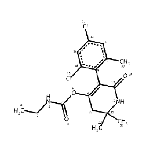 CCNC(=O)OC1=C(c2c(C)cc(Cl)cc2Cl)C(=O)NC(C)(C)C1